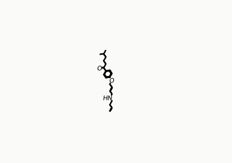 C=CCCNCC=CCOc1ccc(C(=O)CCCC(C)C)cc1